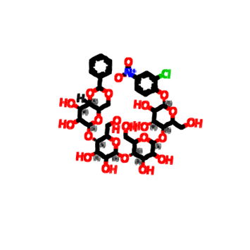 O=[N+]([O-])c1ccc(O[C@@H]2OC(CO)[C@@H](O[C@@H]3OC(CO)[C@@H](O[C@@H]4OC(CO)[C@@H](O[C@@H]5OC6COC(c7ccccc7)O[C@H]6[C@H](O)C5O)[C@H](O)C4O)[C@H](O)C3O)[C@H](O)C2O)c(Cl)c1